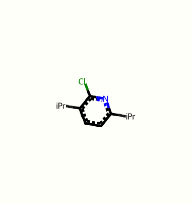 CC(C)c1ccc(C(C)C)c(Cl)n1